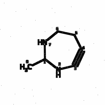 CC1NC#CCCN1